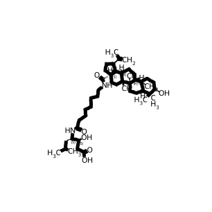 C=C(C)[C@@H]1CC[C@]2(C(=O)NCCCCCCCC(=O)N[C@@H](CC(C)C)[C@@H](O)CC(=O)O)CC[C@]3(C)[C@H](CC[C@@H]4[C@@]5(C)CC[C@H](O)C(C)(C)[C@@H]5CC[C@]43C)[C@@H]12